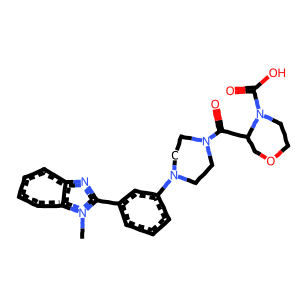 Cn1c(-c2cccc(N3CCN(C(=O)C4COCCN4C(=O)O)CC3)c2)nc2ccccc21